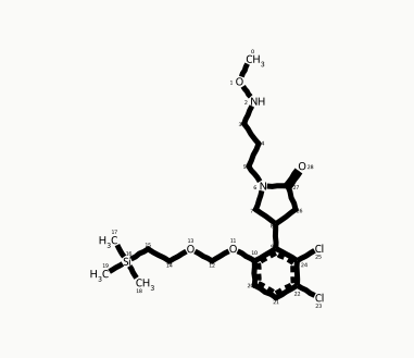 CONCCCN1CC(c2c(OCOCC[Si](C)(C)C)ccc(Cl)c2Cl)CC1=O